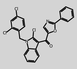 O=C(c1cnc(-c2ccccc2)o1)c1c(Cl)n(Cc2ccc(Cl)cc2Cl)c2ccccc12